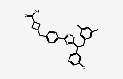 Cc1cc(C)cc(CC(c2cncc(Cl)c2)c2nc(-c3ccc(CN4CC(C(=O)O)C4)cc3)no2)c1